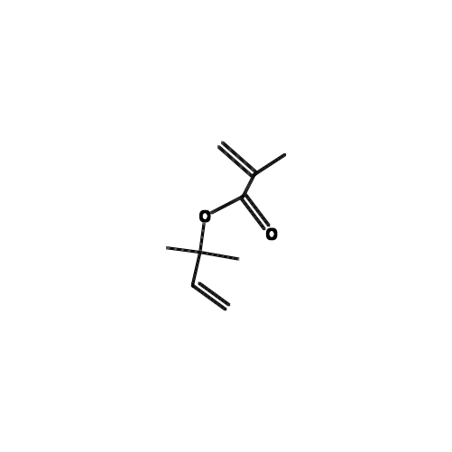 C=CC(C)(C)OC(=O)C(=C)C